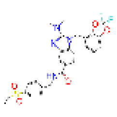 CCS(=O)(=O)c1ccc(CNC(=O)c2ccc3c(c2)nc(N(C)C)n3Cc2cccc3c2OC(F)(F)O3)cc1